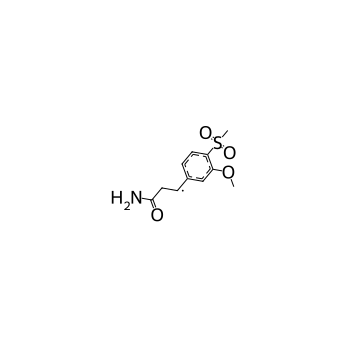 COc1cc([CH]CC(N)=O)ccc1S(C)(=O)=O